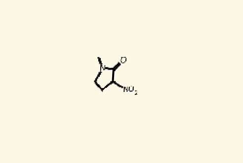 CN1C[CH]C([N+](=O)[O-])C1=O